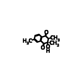 Cc1ccc2c(c1)C(=O)[C@](C)(O)[C@H](C)C2=O